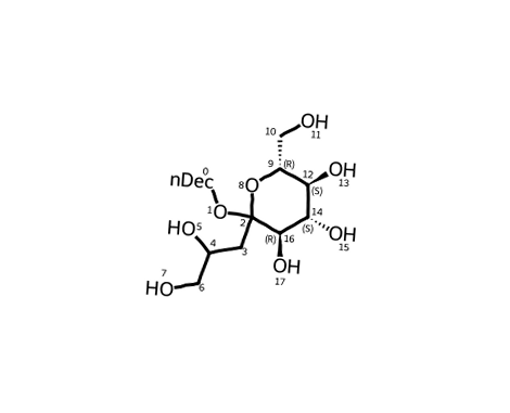 CCCCCCCCCCOC1(CC(O)CO)O[C@H](CO)[C@@H](O)[C@H](O)[C@H]1O